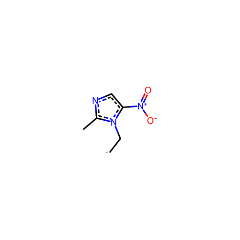 [CH2]Cn1c([N+](=O)[O-])cnc1C